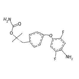 CC(C)(Cc1ccc(Oc2cc(F)c(N)cc2F)cc1)OC(N)=O